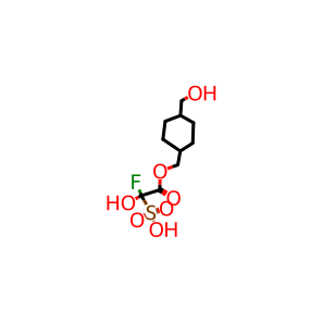 O=C(OCC1CCC(CO)CC1)C(O)(F)S(=O)(=O)O